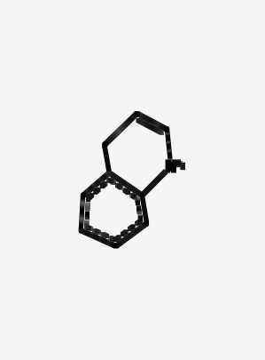 C1=C[N+]c2ccccc2C1